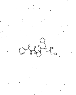 O=CN(O)C[C@@H](CC1CCCC1)C(=O)N1CCC[C@H]1C(=O)NC(=O)c1cccnc1